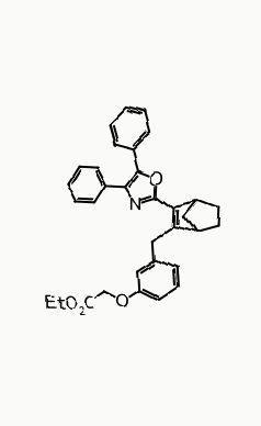 CCOC(=O)COc1cccc(CC2=C(c3nc(-c4ccccc4)c(-c4ccccc4)o3)C3CCC2C3)c1